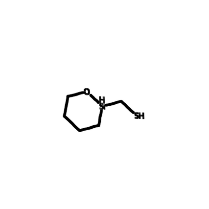 SC[SiH]1CCCCO1